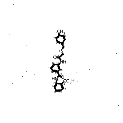 Cc1ccc(CSCC(=O)Nc2cccc(C(=O)Nc3ccccc3C(=O)O)c2)cc1